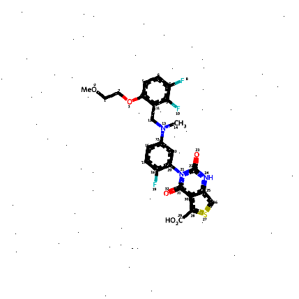 COCCOc1ccc(F)c(F)c1CN(C)c1ccc(F)c(-n2c(=O)[nH]c3csc(C(=O)O)c3c2=O)c1